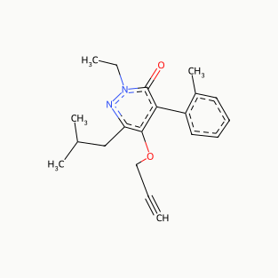 C#CCOc1c(CC(C)C)nn(CC)c(=O)c1-c1ccccc1C